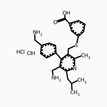 Cc1nc(CC(C)C)c(CN)c(-c2ccc(CN)cc2)c1CSc1cccc(C(=O)O)c1.Cl.Cl